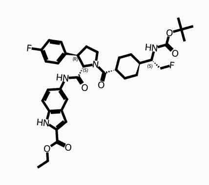 CCOC(=O)c1cc2cc(NC(=O)[C@@H]3[C@@H](c4ccc(F)cc4)CCN3C(=O)[C@H]3CC[C@H]([C@@H](CF)NC(=O)OC(C)(C)C)CC3)ccc2[nH]1